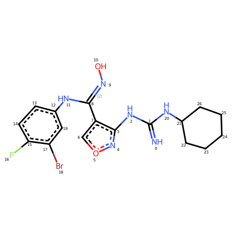 N=C(Nc1nocc1/C(=N/O)Nc1ccc(F)c(Br)c1)NC1CCCCC1